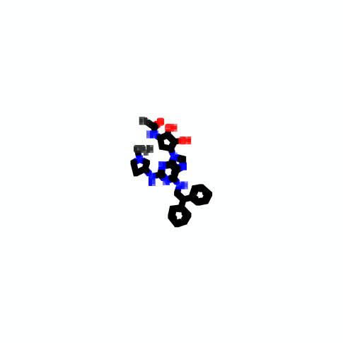 CCC(=O)NC1CC(n2cnc3c(NCC(c4ccccc4)c4ccccc4)nc(NC4CCN(C(=O)O)C4)nc32)C(O)C1O